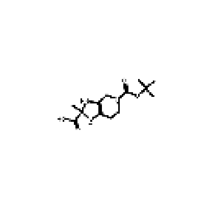 CC(C)(C)OC(=O)N1CCC2=C(C1)NC(C)(C(=O)O)N2